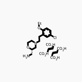 CCOc1ccc(Cl)cc1CCN1CCO[C@@H](CN)C1.O=C(O)/C=C/C(=O)O.O=C(O)/C=C/C(=O)O